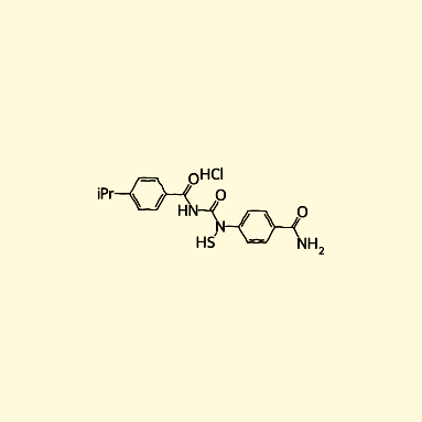 CC(C)c1ccc(C(=O)NC(=O)N(S)c2ccc(C(N)=O)cc2)cc1.Cl